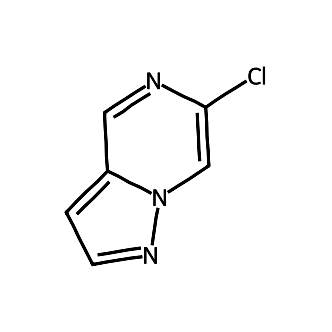 Clc1cn2nccc2cn1